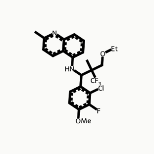 CCOCC(C)(C(Nc1cccc2nc(C)ccc12)c1ccc(OC)c(F)c1Cl)C(F)(F)F